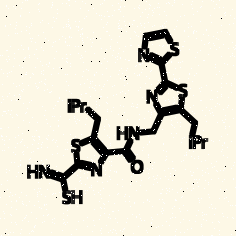 CC(C)Cc1sc(-c2nccs2)nc1CNC(=O)c1nc(C(=N)S)sc1CC(C)C